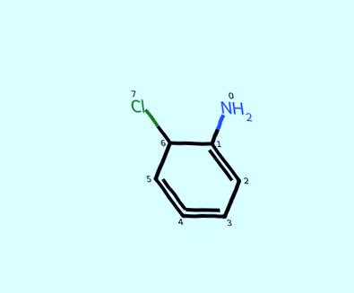 NC1=CC=C=CC1Cl